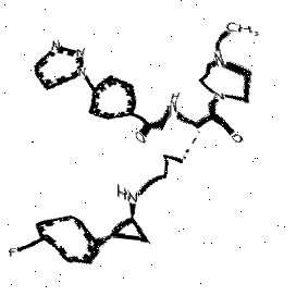 CN1CCN(C(=O)[C@H](CCCN[C@H]2C[C@H]2c2ccc(F)cc2)NC(=O)c2ccc(-n3ccnn3)cc2)CC1